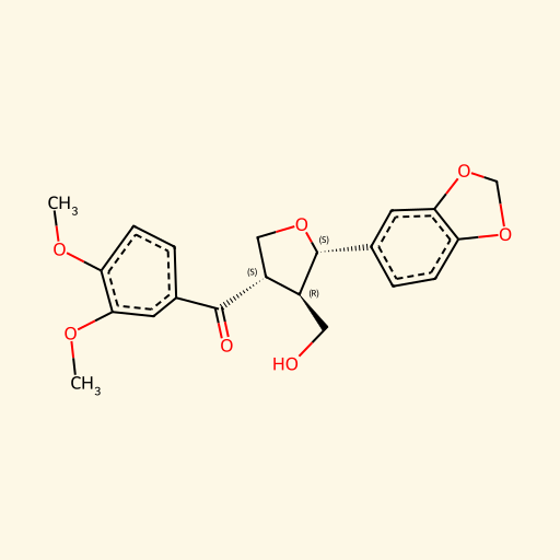 COc1ccc(C(=O)[C@@H]2CO[C@H](c3ccc4c(c3)OCO4)[C@H]2CO)cc1OC